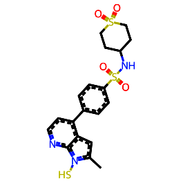 Cc1cc2c(-c3ccc(S(=O)(=O)NC4CCS(=O)(=O)CC4)cc3)ccnc2n1S